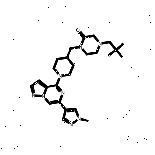 Cn1cc(-c2cn3nccc3c(N3CCC(CN4CCN(CC(C)(C)C)CC4=O)CC3)n2)cn1